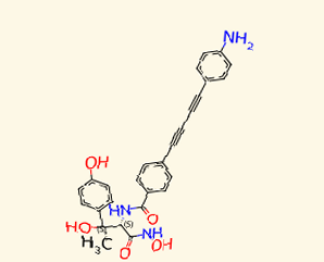 C[C@](O)(c1ccc(O)cc1)[C@H](NC(=O)c1ccc(C#CC#Cc2ccc(N)cc2)cc1)C(=O)NO